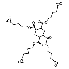 O=C(OCCCCC1CO1)C1CC(C(=O)OCCCCC2CO2)C(C(=O)OCCCCC2CO2)CC1C(=O)OCCCCC1CO1